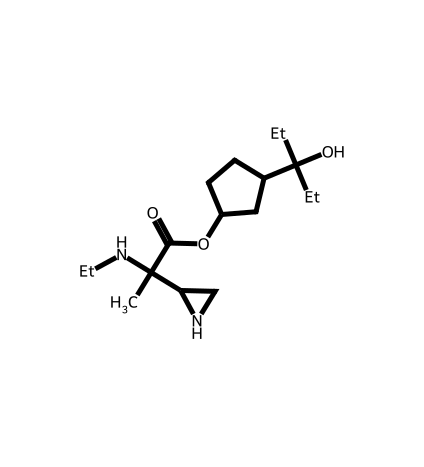 CCNC(C)(C(=O)OC1CCC(C(O)(CC)CC)C1)C1CN1